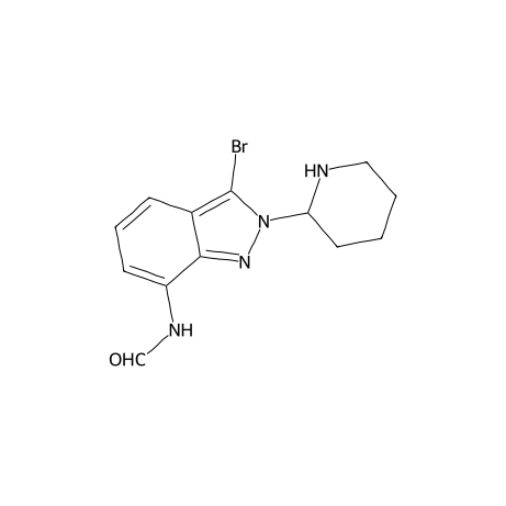 O=CNc1cccc2c(Br)n(C3CCCCN3)nc12